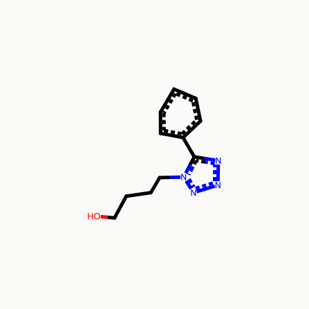 OCCCCn1nnnc1-c1ccccc1